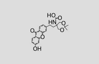 CC1(C)OCC(CCc2ccc3c(=O)c4ccc(O)cc4oc3c2)(NC(=O)O)CO1